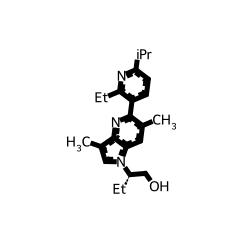 CCc1nc(C(C)C)ccc1-c1nc2c(C)cn([C@@H](CC)CO)c2cc1C